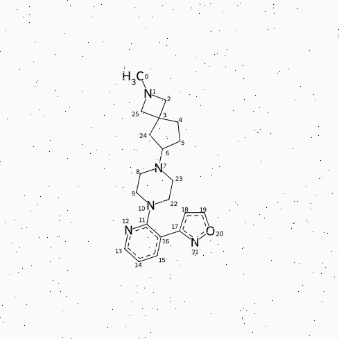 CN1CC2(CCC(N3CCN(c4ncccc4-c4ccon4)CC3)C2)C1